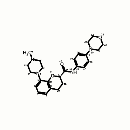 CN1CCN(c2cccc3c2O[C@@H](C(=O)Nc2ccc(N4CCOCC4)cc2)CC3)CC1